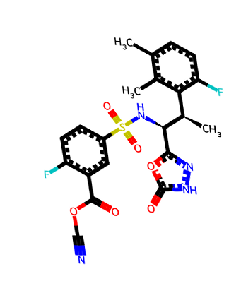 Cc1ccc(F)c([C@@H](C)[C@H](NS(=O)(=O)c2ccc(F)c(C(=O)OC#N)c2)c2n[nH]c(=O)o2)c1C